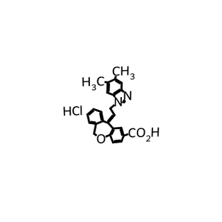 Cc1cc2ncn(C/C=C3\c4ccccc4COc4ccc(C(=O)O)cc43)c2cc1C.Cl